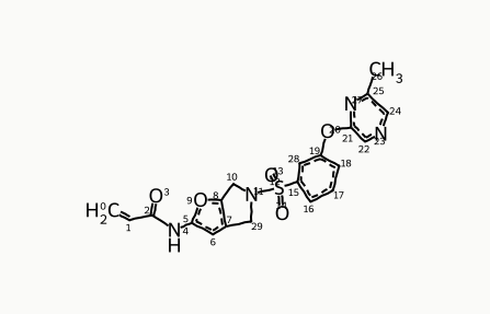 C=CC(=O)Nc1cc2c(o1)CN(S(=O)(=O)c1cccc(Oc3cncc(C)n3)c1)C2